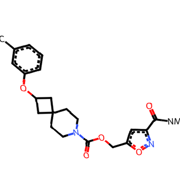 CNC(=O)c1cc(COC(=O)N2CCC3(CC2)CC(Oc2cccc(C(F)(F)F)c2)C3)on1